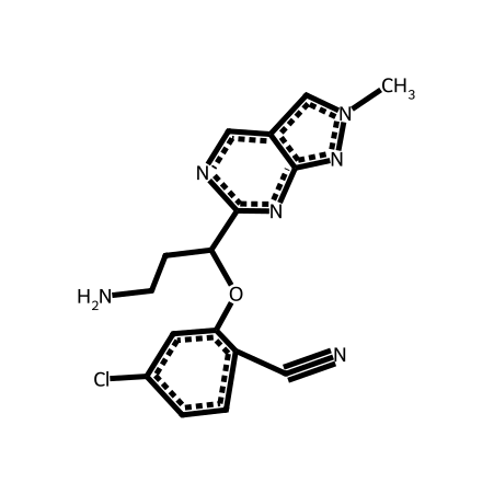 Cn1cc2cnc(C(CCN)Oc3cc(Cl)ccc3C#N)nc2n1